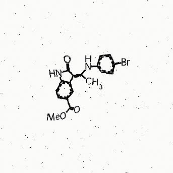 COC(=O)c1ccc2c(c1)/C(=C(\C)Nc1ccc(Br)cc1)C(=O)N2